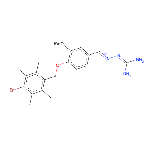 COc1cc(/C=N/N=C(N)N)ccc1OCc1c(C)c(C)c(Br)c(C)c1C